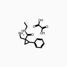 CCNC(=O)C1(CN)CC1c1ccccc1.O=C(O)C(=O)O